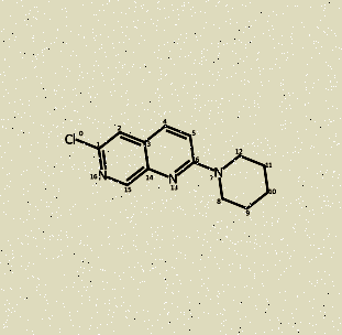 Clc1cc2ccc(N3CCCCC3)nc2cn1